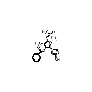 C[C@H]1[C@@H](OC(=O)c2ccccc2)[C@H](n2cnc(C#N)n2)O[C@@H]1CP(C)(C)=O